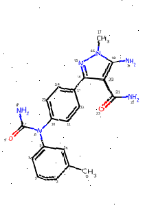 Cc1cccc(N(C(N)=O)c2ccc(-c3nn(C)c(N)c3C(N)=O)cc2)c1